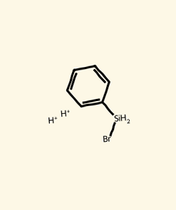 Br[SiH2]c1ccccc1.[H+].[H+]